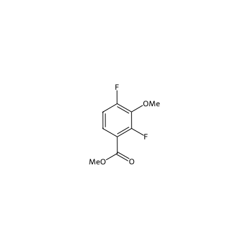 COC(=O)c1ccc(F)c(OC)c1F